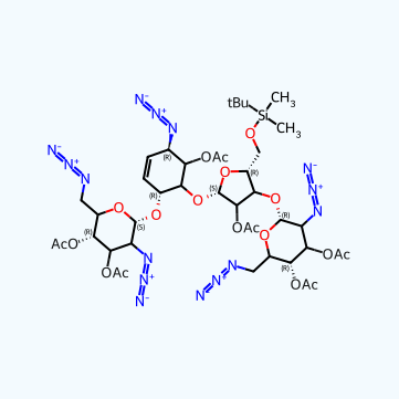 CC(=O)OC1C(O[C@H]2OC(CN=[N+]=[N-])[C@@H](OC(C)=O)C(OC(C)=O)C2N=[N+]=[N-])[C@@H](CO[Si](C)(C)C(C)(C)C)O[C@H]1OC1C(OC(C)=O)[C@H](N=[N+]=[N-])C=C[C@H]1O[C@H]1OC(CN=[N+]=[N-])[C@@H](OC(C)=O)C(OC(C)=O)C1N=[N+]=[N-]